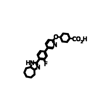 O=C(O)[C@H]1CC[C@@H](Oc2ccc(-c3ccc(C4=NC5CCCCCC5N4)c(F)c3)cn2)CC1